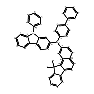 CC1(C)c2ccccc2-c2ccc3ccc(N(c4ccc(-c5ccccc5)cc4)c4ccc5c6ccccc6n(-c6ccccc6)c5c4)cc3c21